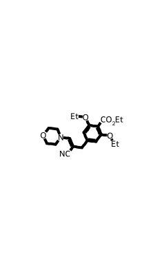 CCOC(=O)c1c(OCC)cc(CC(C#N)=CN2CCOCC2)cc1OCC